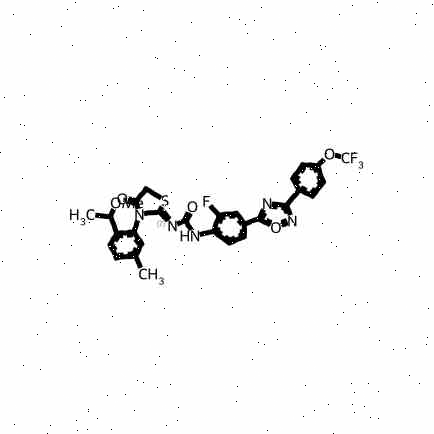 COC(C)c1ccc(C)cc1N1C(=O)CS/C1=N\C(=O)Nc1ccc(-c2nc(-c3ccc(OC(F)(F)F)cc3)no2)cc1F